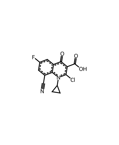 N#Cc1cc(F)cc2c(=O)c(C(=O)O)c(Cl)n(C3CC3)c12